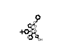 CC(C)(C)c1ccc(N(C(=O)[C@H]2CCCN2C(=O)OCc2ccccc2)C(C(=O)N2CC(O)C2)c2cccnc2)cc1